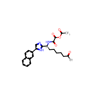 CCC(=O)CCCCC[C@H](NC(=O)C(=O)OC(=O)C(F)(F)F)c1ncc(-c2ccc3ccccc3c2)[nH]1